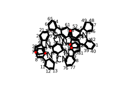 N#Cc1c(-n2c3ccccc3c3ccccc32)c(-n2c3ccccc3c3ccccc32)c(C#N)c(-n2c3ccc(-c4ccccc4-n4c5ccccc5c5ccccc54)cc3c3ccc4c5ccccc5sc4c32)c1-n1c2ccccc2c2ccccc21